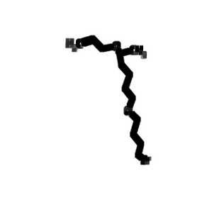 C=CCOC(C)CCCCOCCCCBr